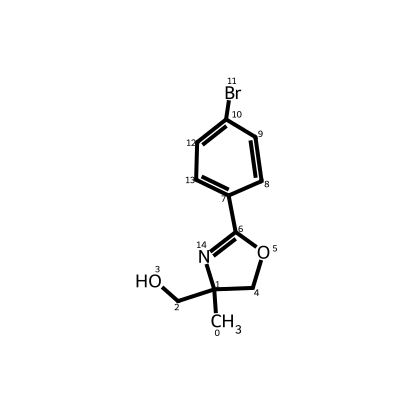 CC1(CO)COC(c2ccc(Br)cc2)=N1